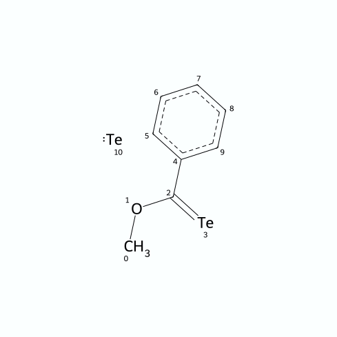 COC(=[Te])c1ccccc1.[Te]